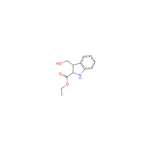 CCOC(=O)C1Nc2ccccc2C1CO